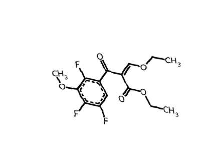 CCO/C=C(\C(=O)OCC)C(=O)c1cc(F)c(F)c(OC)c1F